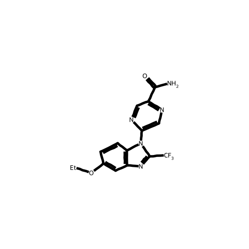 CCOc1ccc2c(c1)nc(C(F)(F)F)n2-c1cnc(C(N)=O)cn1